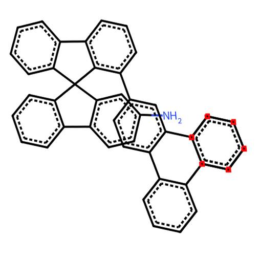 Nc1ccc2c(c1)C1(c3ccccc3-2)c2ccccc2-c2cccc(-c3ccc(-c4ccccc4-c4ccccc4)c(-c4ccccc4)c3)c21